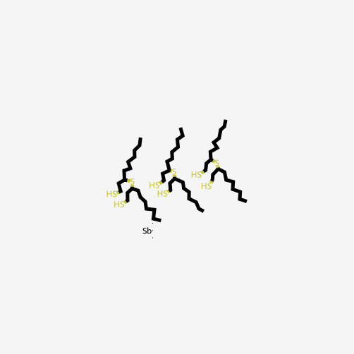 CCCCCCCC(CCS)SC(CCS)CCCCCCC.CCCCCCCC(CCS)SC(CCS)CCCCCCC.CCCCCCCC(CCS)SC(CCS)CCCCCCC.[Sb]